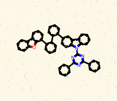 c1ccc(-c2nc(-c3ccccc3)nc(-n3c4ccccc4c4cc(-c5ccccc5-c5ccccc5-c5cccc6c5oc5ccccc56)ccc43)n2)cc1